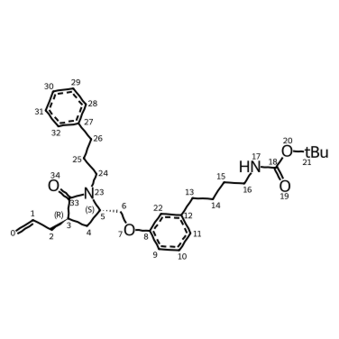 C=CC[C@@H]1C[C@@H](COc2cccc(CCCCNC(=O)OC(C)(C)C)c2)N(CCCc2ccccc2)C1=O